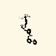 CCN(CC=CC#CC(C)(C)C)Cc1cccc(NCc2cccc(-n3cccc3)c2)c1